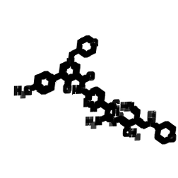 C=C(\C(N)=N/C=C(C)/C(C=N)=C/NC1CCOCC1)c1ccc(NC(=O)c2cn(CC3CCOCC3)cc(-c3ccc(C)cc3)c2=O)nn1